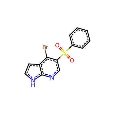 O=S(=O)(c1ccccc1)c1cnc2[nH]ccc2c1Br